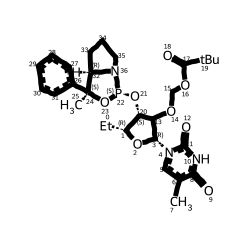 CC[C@H]1O[C@@H](n2cc(C)c(=O)[nH]c2=O)C(OCOC(=O)C(C)(C)C)[C@H]1O[P@]1O[C@@](C)(c2ccccc2)[C@H]2CCCN21